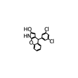 Oc1cc2c([nH]1)Oc1ccccc1C2c1cc(Cl)cc(Cl)c1